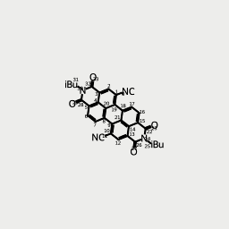 [C-]#[N+]c1cc2c3c(ccc4c5c(C#N)cc6c7c(ccc(c1c34)c75)C(=O)N(C(C)CC)C6=O)C(=O)N(C(C)CC)C2=O